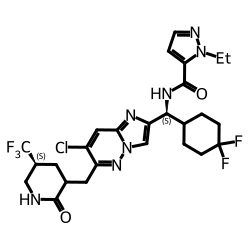 CCn1nccc1C(=O)N[C@H](c1cn2nc(CC3C[C@H](C(F)(F)F)CNC3=O)c(Cl)cc2n1)C1CCC(F)(F)CC1